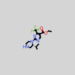 CCOC(=O)c1cnc(N2CCNC[C@H]2C(C)C)nc1C(F)(F)F